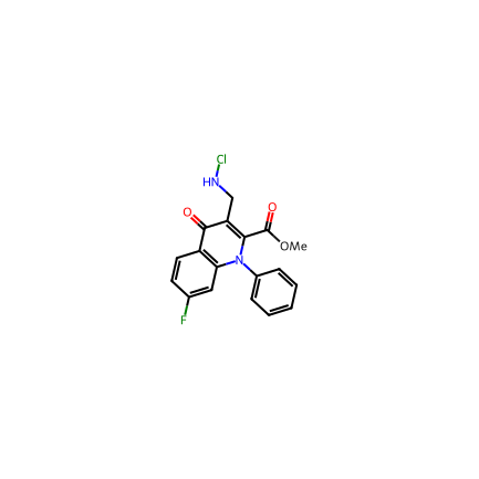 COC(=O)c1c(CNCl)c(=O)c2ccc(F)cc2n1-c1ccccc1